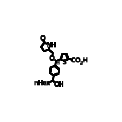 CCCCCCC(O)c1ccc([C@@H](OCC2CCC(=O)N2)c2ccc(C(=O)O)s2)cc1